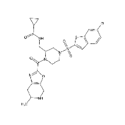 CC1Cc2nc(C(=O)N3CCN(S(=O)(=O)c4cc5ccc(Cl)cc5s4)CC3CNC(=O)C3CC3)oc2CN1